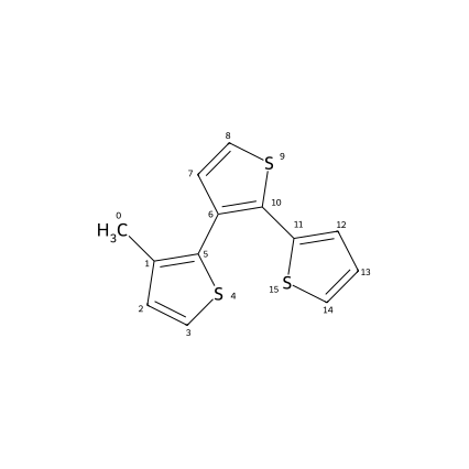 Cc1ccsc1-c1ccsc1-c1cccs1